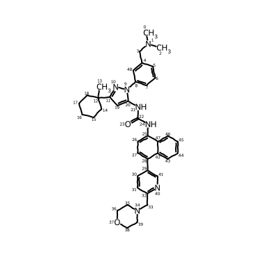 CN(C)Cc1cccc(-n2nc(C3(C)CCCCC3)cc2NC(=O)Nc2ccc(-c3ccc(CN4CCOCC4)nc3)c3ccccc23)c1